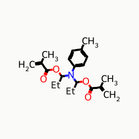 C=C(C)C(=O)OC(CC)N(c1ccc(C)cc1)C(CC)OC(=O)C(=C)C